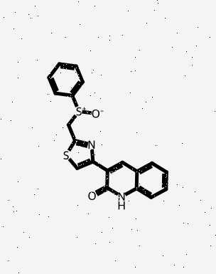 O=c1[nH]c2ccccc2cc1-c1csc(C[S+]([O-])c2ccccc2)n1